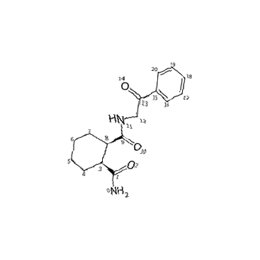 NC(=O)[C@H]1CCCC[C@H]1C(=O)NCC(=O)c1ccccc1